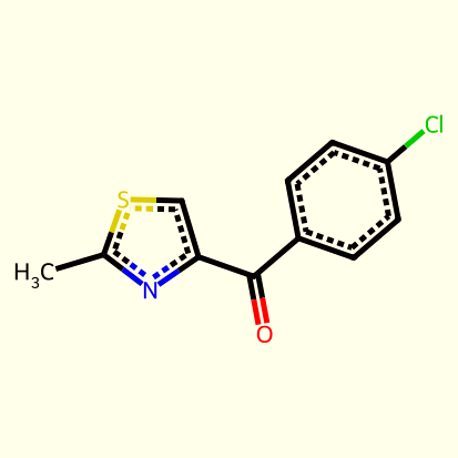 Cc1nc(C(=O)c2ccc(Cl)cc2)cs1